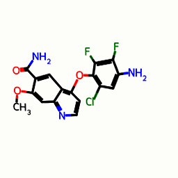 COc1cc2nccc(Oc3c(Cl)cc(N)c(F)c3F)c2cc1C(N)=O